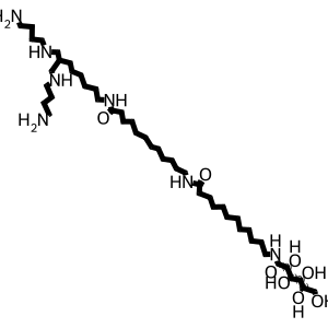 NCCCCNCC(CCCCCCNC(=O)CCCCCCCCCCCNC(=O)CCCCCCCCCCCNC(=O)[C@H](O)[C@@H](O)[C@H](O)[C@H](O)CO)CNCCCCN